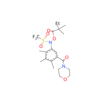 CCC(C)(C)C(=O)ON(c1cc(C(=O)N2CCOCC2)c(C)c(C)c1C)S(=O)(=O)C(F)(F)F